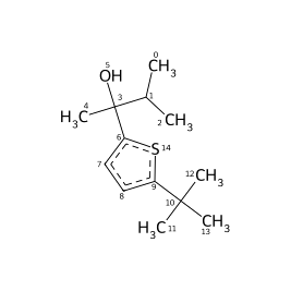 CC(C)C(C)(O)c1ccc(C(C)(C)C)s1